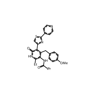 CCc1[nH]c(=O)c(-c2csc(-c3ccncc3)n2)c(Cc2ccc(OC)cc2)c1NC(=O)C(C)C